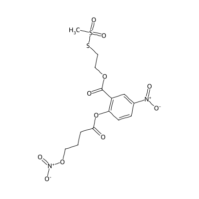 CS(=O)(=O)SCCOC(=O)c1cc([N+](=O)[O-])ccc1OC(=O)CCCO[N+](=O)[O-]